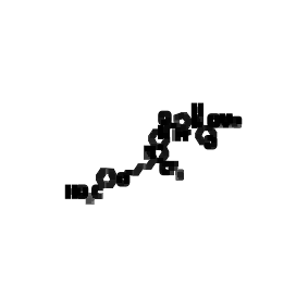 CO[C@@H]1COCC[C@@H]1N[C@@H]1CC[C@@](C(=O)N2CCc3nc(CCCCOc4cccc(C(=O)O)c4)c(C(F)(F)F)cc3C2)(C(C)C)C1